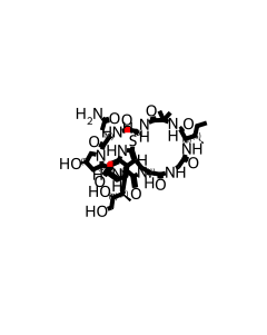 CC[C@H](C)[C@@H]1NC(=O)CNC(=O)[C@@H]2Cc3c([nH]c4ccccc34)S[C@H](NC(=O)C(C)(C)NC1=O)C(=O)N[C@@H](CC(N)=O)C(=O)N1C[C@H](O)C[C@H]1C(=O)N[C@@H]([C@@H](C)[C@@H](O)CO)C(=O)N2